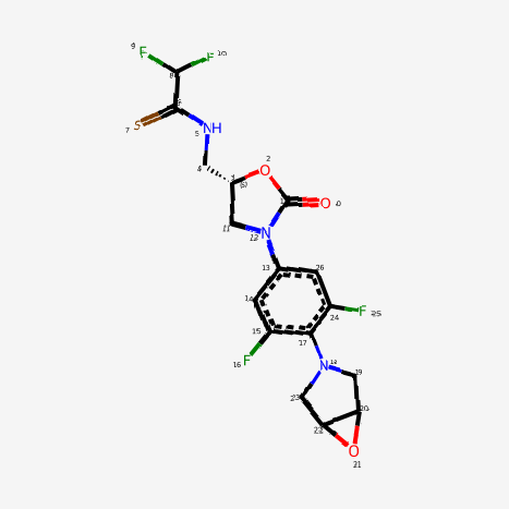 O=C1O[C@@H](CNC(=S)C(F)F)CN1c1cc(F)c(N2CC3OC3C2)c(F)c1